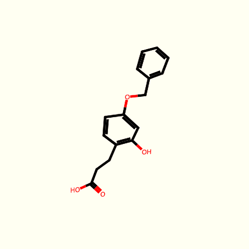 O=C(O)CCc1ccc(OCc2ccccc2)cc1O